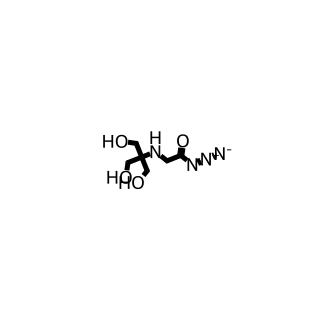 [N-]=[N+]=NC(=O)CNC(CO)(CO)CO